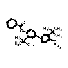 COc1ccc(-c2ccc(OC(=O)c3ccccc3)c(C(C)(C)C)c2)cc1C(C)(C)C